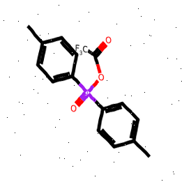 Cc1ccc(I(=O)(OC(=O)C(F)(F)F)c2ccc(C)cc2)cc1